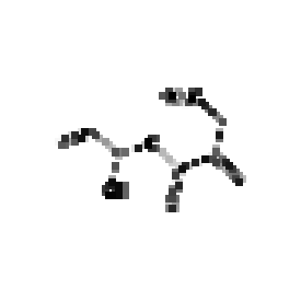 C=CC(O)OC(=O)C(=C)CC(=O)O